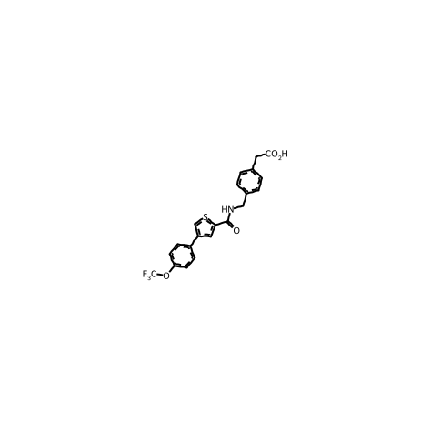 O=C(O)Cc1ccc(CNC(=O)c2cc(-c3ccc(OC(F)(F)F)cc3)cs2)cc1